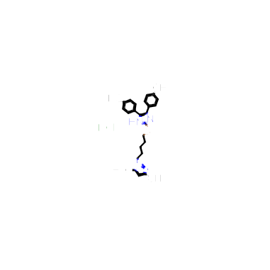 Cc1ccc(-c2nc(SCCCCCn3nc(C)cc3C)[nH]c2-c2ccc(C)cc2)cc1.Cl